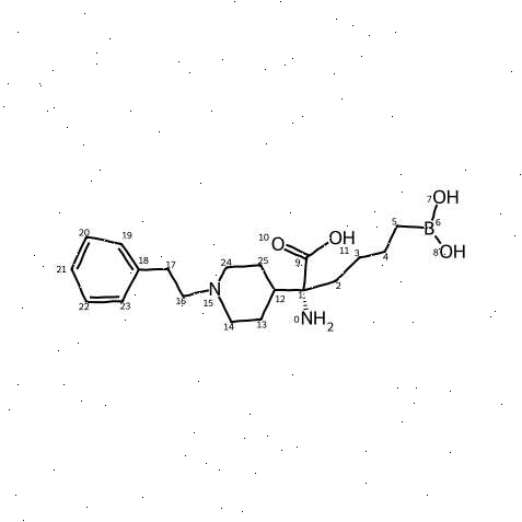 N[C@@](CCCCB(O)O)(C(=O)O)C1CCN(CCc2ccccc2)CC1